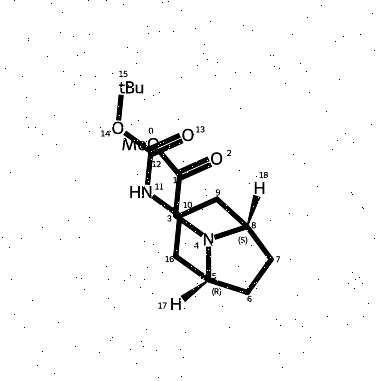 COC(=O)CN1[C@@H]2CC[C@H]1CC(NC(=O)OC(C)(C)C)C2